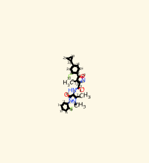 Cc1c(C(=O)Nc2c(C)n(C)n(-c3ccccc3F)c2=O)noc1-c1ccc(C2CC2)cc1F